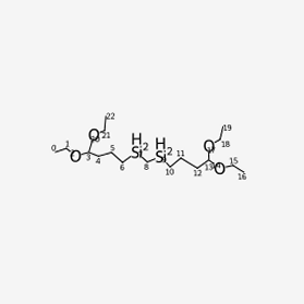 CCOC(CCC[SiH2]C[SiH2]CCCC(OCC)OCC)OCC